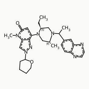 CC[C@H]1CN(C(C)c2ccc3nccnc3c2)[C@H](C)CN1c1cc(=O)n(C)c2cn(C3CCCCO3)nc12